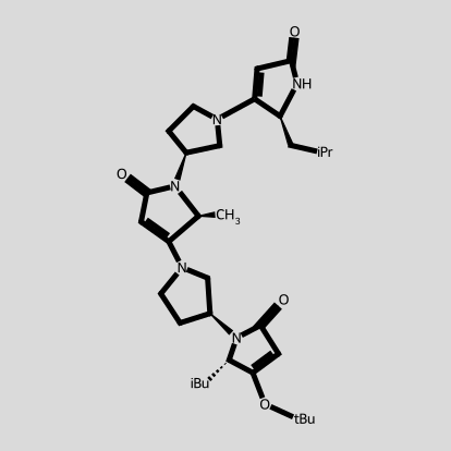 CCC(C)[C@H]1C(OC(C)(C)C)=CC(=O)N1[C@H]1CCN(C2=CC(=O)N([C@H]3CCN(C4=CC(=O)N[C@H]4CC(C)C)C3)[C@H]2C)C1